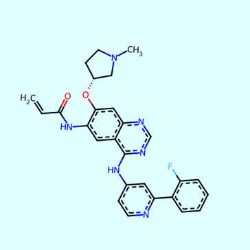 C=CC(=O)Nc1cc2c(Nc3ccnc(-c4ccccc4F)c3)ncnc2cc1O[C@@H]1CCN(C)C1